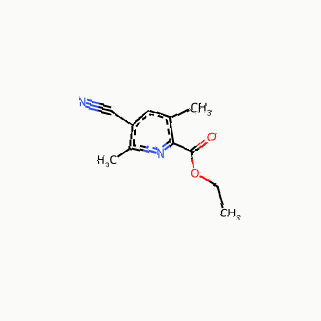 CCOC(=O)c1nc(C)c(C#N)cc1C